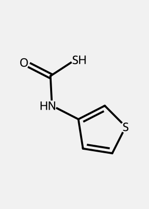 O=C(S)Nc1ccsc1